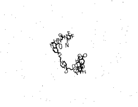 CC(C)[C@]12C[C@H]1[C@@H]1O[C@@]13[C@@]1(C)CCC4=C(COC4=O)[C@@H]1CO[C@]3(C)[C@@H]2OC(=O)CCC(=O)N1CCN(CCCOc2ccc3nccc(C(=O)NCC(=O)N4CC(F)(F)C[C@H]4C#N)c3c2)CC1